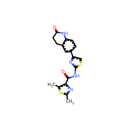 Cc1nc(C(=O)Nc2nc(-c3ccc4c(c3)CCC(=O)N4)cs2)c(C)s1